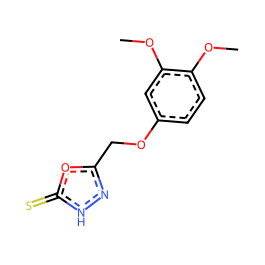 COc1ccc(OCc2n[nH]c(=S)o2)cc1OC